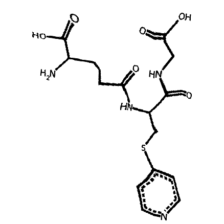 NC(CCC(=O)NC(CSc1ccncc1)C(=O)NCC(=O)O)C(=O)O